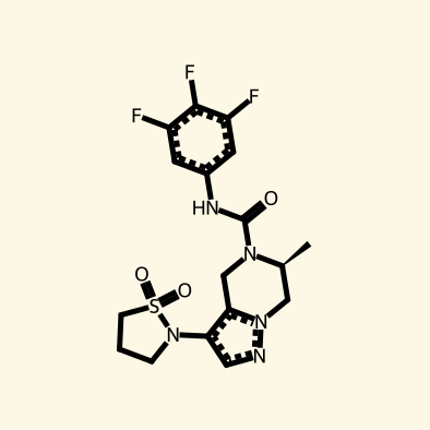 C[C@H]1Cn2ncc(N3CCCS3(=O)=O)c2CN1C(=O)Nc1cc(F)c(F)c(F)c1